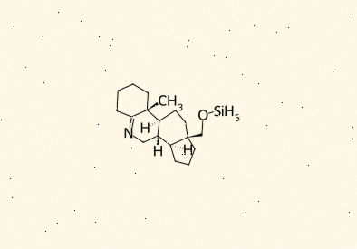 C[C@]12CCCCC1=NC[C@H]1[C@@H]3CCC[C@@]3(CO[SiH3])CC[C@@H]12